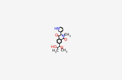 COC(c1ccc2c(c1)C(=O)N(C)C(C1=CC=CNC1)C2=O)C(C)O